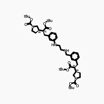 CC(C)(C)OC(=O)[C@@H](Cc1cccc(CNCCNc2cccc(C[C@H](C(=O)OC(C)(C)C)[C@H]3CCN(C(=O)OC(C)(C)C)C3)c2)c1)[C@H]1CCN(C(=O)OC(C)(C)C)C1